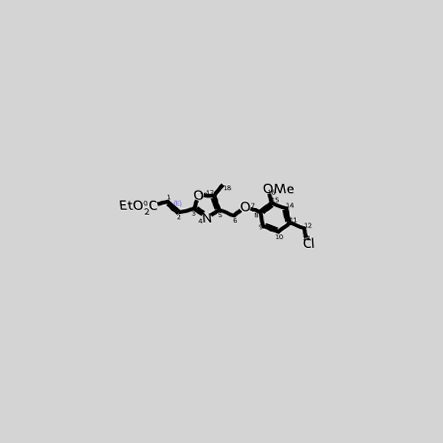 CCOC(=O)/C=C/c1nc(COc2ccc(CCl)cc2OC)c(C)o1